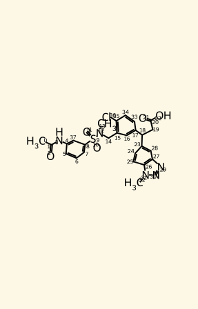 CC(=O)Nc1cccc(S(=O)(=O)N(C)Cc2cc(C(CC(=O)O)c3ccc4c(c3)nnn4C)ccc2Cl)c1